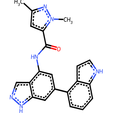 Cc1cc(C(=O)Nc2cc(-c3cccc4[nH]ccc34)cc3[nH]ncc23)n(C)n1